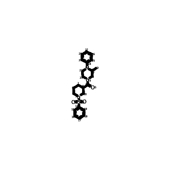 CC1CN(C(=O)C2CCCN(S(=O)(=O)c3ccccc3)C2)CCN1c1ccccc1